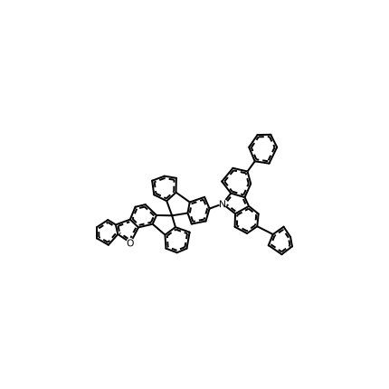 c1ccc(-c2ccc3c(c2)c2cc(-c4ccccc4)ccc2n3-c2ccc3c(c2)-c2ccccc2C32c3ccccc3-c3c2ccc2c3oc3ccccc32)cc1